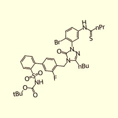 CCCCc1nn(-c2cc(NC(=S)CCC)ccc2Br)c(=O)n1Cc1ccc(-c2ccccc2S(=O)(=O)NC(=O)OC(C)(C)C)cc1F